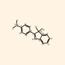 CN(C)c1ccc(C2=Nc3ccccc3C2(C)C)cc1